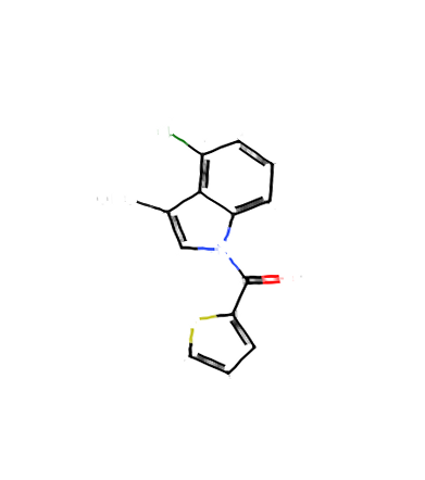 O=Cc1cn(C(=O)c2cccs2)c2cccc(Cl)c12